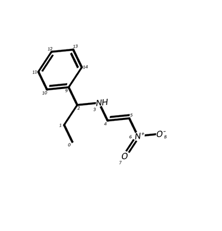 CCC(NC=C[N+](=O)[O-])c1ccccc1